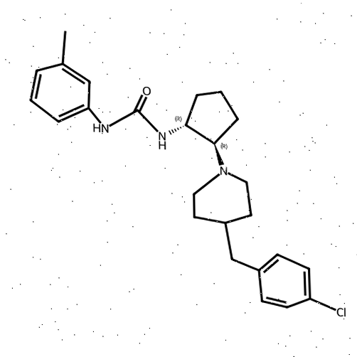 Cc1cccc(NC(=O)N[C@@H]2CCC[C@H]2N2CCC(Cc3ccc(Cl)cc3)CC2)c1